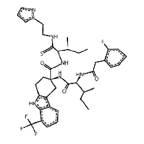 CCC(C)[C@H](NC(=O)Cc1ccccc1F)C(=O)N[C@]1(C(=O)NC(C(=S)NCCn2cccn2)[C@@H](C)CC)CCc2[nH]c3c(C(F)(F)F)cccc3c2C1